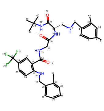 Cc1ccc(CNC[C@H](NC(=O)CNC(=O)c2cc(C(F)(F)F)ccc2NCc2ccccc2C)C(=O)NC(C)(C)C)c(C)c1